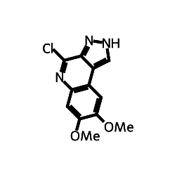 COc1cc2nc(Cl)c3n[nH]cc3c2cc1OC